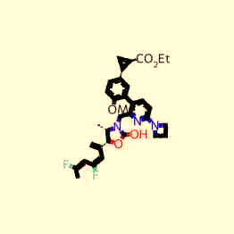 C=C(/C=C(F)\C=C(/C)F)[C@H]1OC(O)N(Cc2nc(N3CCC3)ccc2-c2cc([C@@H]3C[C@H]3C(=O)OCC)ccc2OC)[C@H]1C